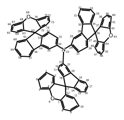 c1ccc2c(c1)Oc1ccccc1C21c2ccccc2-c2cc(N(c3ccc4c(c3)-c3ccccc3C43c4ccccc4Oc4ccccc43)c3ccc4c(c3)-c3ccccc3C43c4ccccc4Oc4ccccc43)ccc21